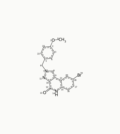 COc1ccc(Cn2cc3c(n2)c(=O)[nH]c2ccc(Br)cc23)cc1